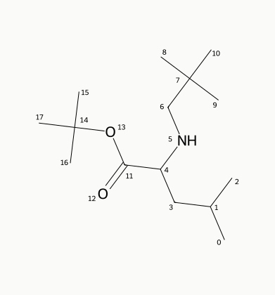 CC(C)CC(NCC(C)(C)C)C(=O)OC(C)(C)C